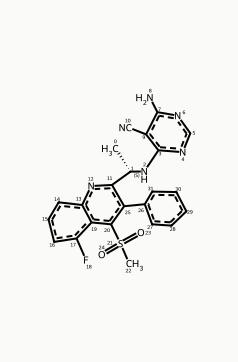 C[C@H](Nc1ncnc(N)c1C#N)c1nc2cccc(F)c2c(S(C)(=O)=O)c1-c1ccccc1